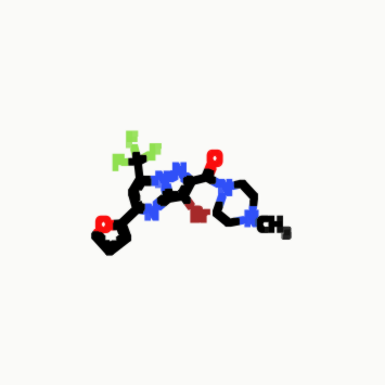 CN1CCN(C(=O)c2nn3c(C(F)(F)F)cc(-c4ccco4)nc3c2Br)CC1